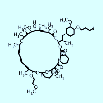 COCCO[C@H]1C[C@@H]2CC[C@@H](C)[C@@](O)(O2)C(=O)C(=O)N2CCCC[C@H]2C(=O)O[C@H]([C@H](C)C[C@@H]2CC[C@@H](OCCCI)[C@H](OC)C2)CC(=O)[C@H](C)/C=C(\C)[C@@H](O)[C@@H](OC)C(=O)[C@H](C)C[C@H](C)/C=C/C=C/C=C/1C